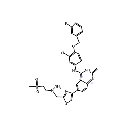 C=C/N=C1/C=CC(c2csc(CN(N)CCS(C)(=O)=O)n2)=C/C1=C(/N)Nc1ccc(OCc2cccc(F)c2)c(Cl)c1